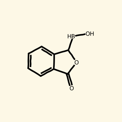 O=C1OC(BO)c2ccccc21